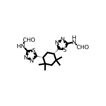 CC1(C)CC(C)(C)[C@H](c2nnc(NC=O)s2)C[C@@H]1c1nnc(NC=O)s1